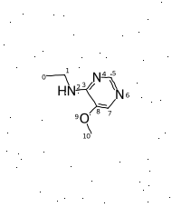 CCNc1n[c]ncc1OC